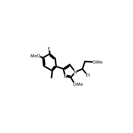 CCC(COC)n1cc(-c2cc(F)c(OC)cc2C)nc1OC